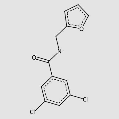 O=C([N]Cc1ccco1)c1cc(Cl)cc(Cl)c1